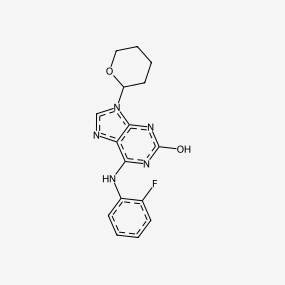 Oc1nc(Nc2ccccc2F)c2ncn(C3CCCCO3)c2n1